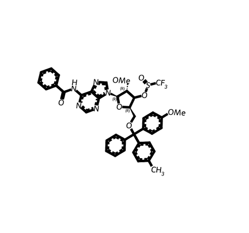 COc1ccc(C(OC[C@H]2O[C@@H](n3cnc4c(NC(=O)c5ccccc5)ncnc43)[C@H](OC)C2OS(=O)C(F)(F)F)(c2ccccc2)c2ccc(C)cc2)cc1